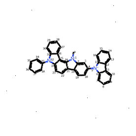 Cn1c2cc(-n3c4ccccc4c4ccccc43)ccc2c2ccc3c(c4ccccc4n3-c3ccccc3)c21